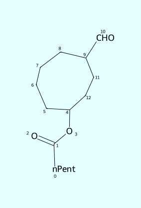 CCCCCC(=O)OC1CCCCC(C=O)CC1